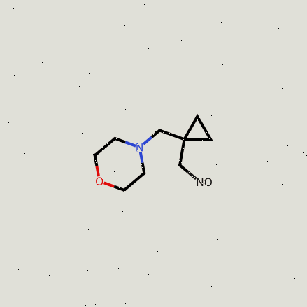 O=NCC1(CN2CCOCC2)CC1